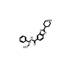 O=C(N[C@@H](CO)c1ccccc1)c1ccc2nc(C3CCNCC3)sc2c1